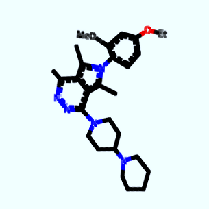 CCOc1ccc(-n2c(C)c3c(C)nnc(N4CCC(N5CCCCC5)CC4)c3c2C)c(OC)c1